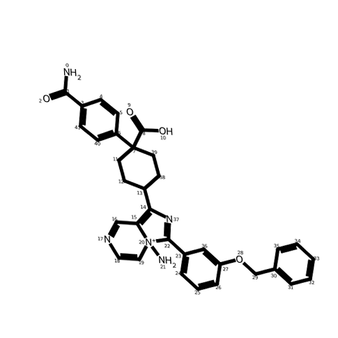 NC(=O)c1ccc(C2(C(=O)O)CCC(C3=C4C=NC=C[N+]4(N)C(c4cccc(OCc5ccccc5)c4)=N3)CC2)cc1